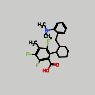 Cc1c(F)c(F)c(C(=O)O)c(C2CCCCC2Cc2ccccc2N(C)C)c1F